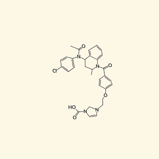 CC(=O)N(c1ccc(Cl)cc1)C1CC(C)N(C(=O)c2ccc(OCCN3C=CN(C(=O)O)C3)cc2)c2ccccc21